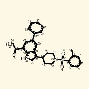 Cc1ccccc1S(=O)(=O)N1CCC(c2c[nH]c3c(C(N)=O)cc(-c4ccccc4)cc23)CC1